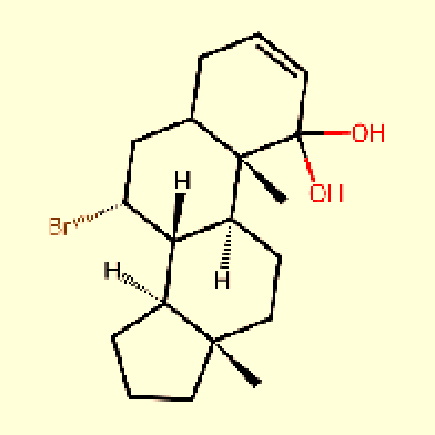 C[C@@]12CCC[C@H]1[C@@H]1[C@H](Br)CC3CC=CC(O)(O)[C@]3(C)[C@H]1CC2